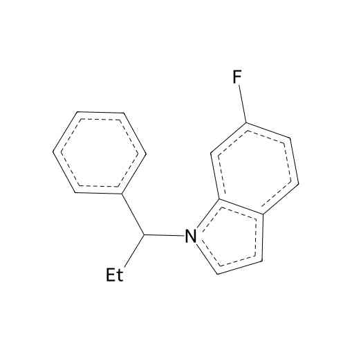 CCC(c1ccccc1)n1ccc2ccc(F)cc21